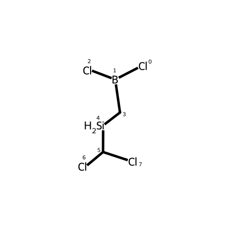 ClB(Cl)C[SiH2]C(Cl)Cl